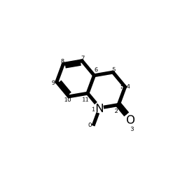 CN1C(=O)[C]CC2C=CC=CC21